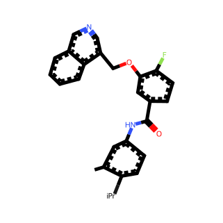 Cc1cc(NC(=O)c2ccc(F)c(OCc3cncc4ccccc34)c2)ccc1C(C)C